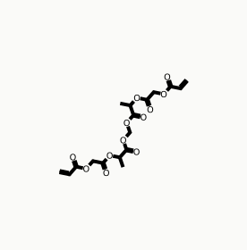 C=CC(=O)OCC(=O)OC(C)C(=O)OCOC(=O)C(C)OC(=O)COC(=O)C=C